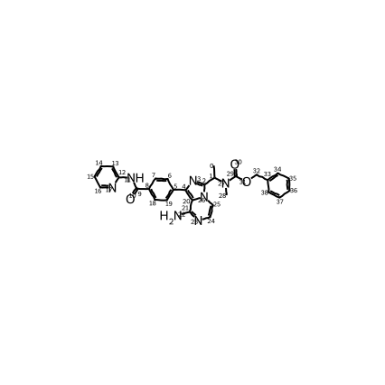 CC(c1nc(-c2ccc(C(=O)Nc3ccccn3)cc2)c2c(N)nccn12)N(C)C(=O)OCc1ccccc1